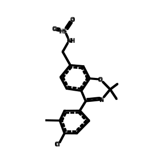 Cc1cc(C2=NC(C)(C)Oc3cc(CN[SH](=O)=O)ccc32)ccc1Cl